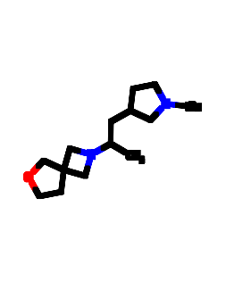 CC(CC1CCN(C(C)(C)C)C1)N1CC2(CCOC2)C1